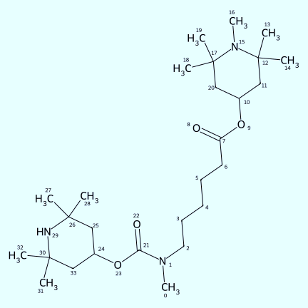 CN(CCCCCC(=O)OC1CC(C)(C)N(C)C(C)(C)C1)C(=O)OC1CC(C)(C)NC(C)(C)C1